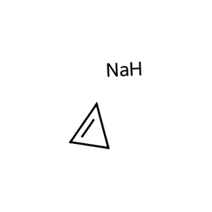 C1=CC1.[NaH]